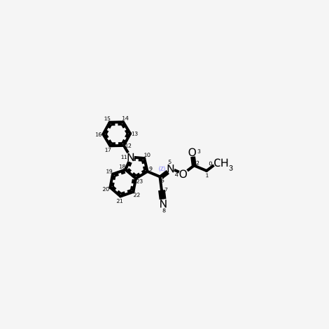 CCC(=O)O/N=C(\C#N)c1cn(-c2ccccc2)c2ccccc12